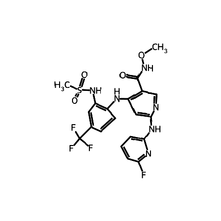 CONC(=O)c1cnc(Nc2cccc(F)n2)cc1Nc1ccc(C(F)(F)F)cc1NS(C)(=O)=O